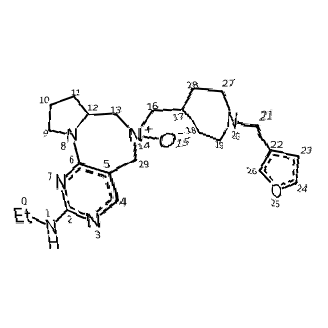 CCNc1ncc2c(n1)N1CCCC1C[N+]([O-])(CC1CCN(Cc3ccoc3)CC1)C2